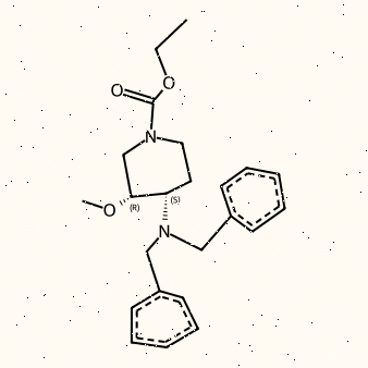 CCOC(=O)N1CC[C@H](N(Cc2ccccc2)Cc2ccccc2)[C@H](OC)C1